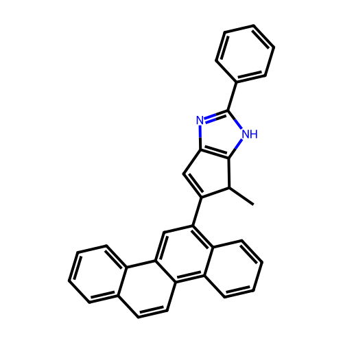 CC1C(c2cc3c4ccccc4ccc3c3ccccc23)=Cc2nc(-c3ccccc3)[nH]c21